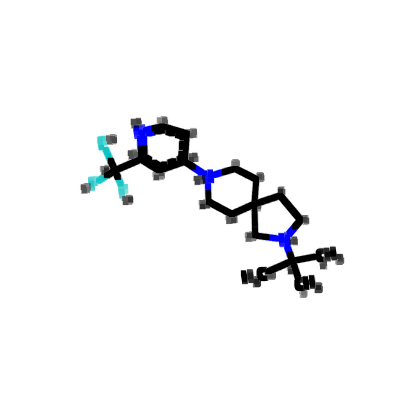 CC(C)(C)N1CCC2(CCN(c3ccnc(C(F)(F)F)c3)CC2)C1